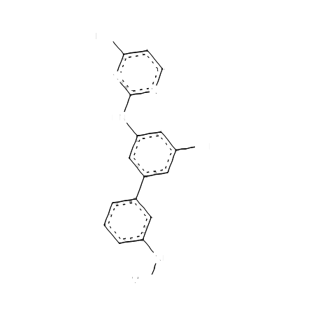 CSNc1cccc(-c2cc(C)cc(Nc3nccc(C(F)(F)F)n3)c2)c1